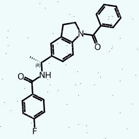 C[C@@H](NC(=O)c1ccc(F)cc1)c1ccc2c(c1)CCN2C(=O)c1ccccc1